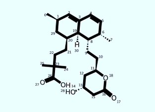 C[C@H]1C=C2C=C[C@H](C)[C@H](CC[C@@H]3C[C@@H](O)CC(=O)O3)[C@H]2[C@@H](CCC(C)(C)C(=O)O)C1